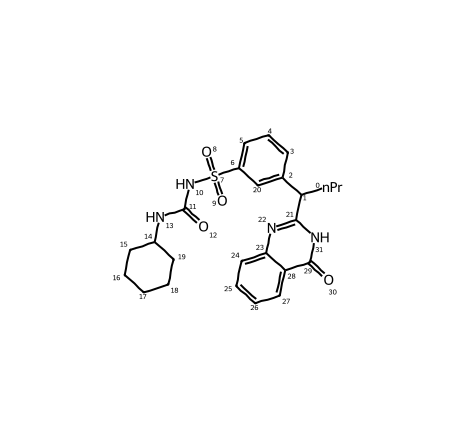 CCCC(c1cccc(S(=O)(=O)NC(=O)NC2CCCCC2)c1)c1nc2ccccc2c(=O)[nH]1